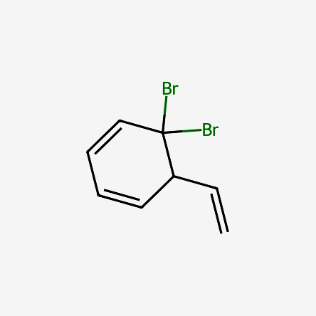 C=CC1C=CC=CC1(Br)Br